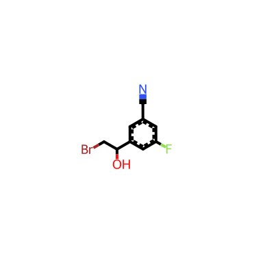 N#Cc1cc(F)cc(C(O)CBr)c1